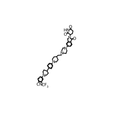 N#Cc1ccc(N2CCC(c3ccc(N4CCC(CCN5CCN(c6ccc7c(c6)CN(C6CCC(=O)NC6=O)C7=O)CC5)CC4)cc3)CC2)cc1C(F)(F)F